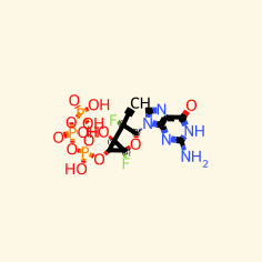 C#C[C@]1(F)[C@H](n2cnc3c(=O)[nH]c(N)nc32)O[C@]2(F)C(OP(=O)(O)OP(=O)(O)OP(=O)(O)O)[C@@]21O